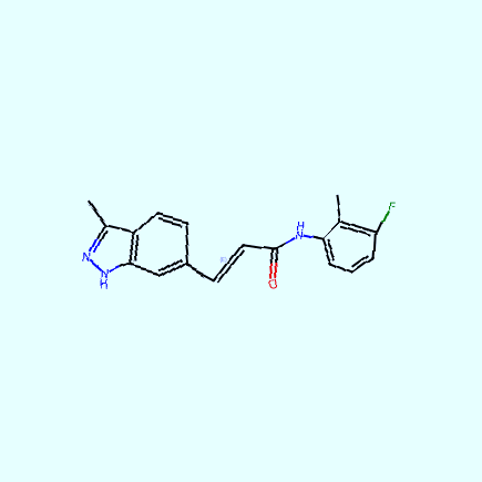 Cc1c(F)cccc1NC(=O)/C=C/c1ccc2c(C)n[nH]c2c1